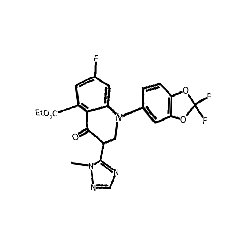 CCOC(=O)c1cc(F)cc2c1C(=O)C(c1ncnn1C)CN2c1ccc2c(c1)OC(F)(F)O2